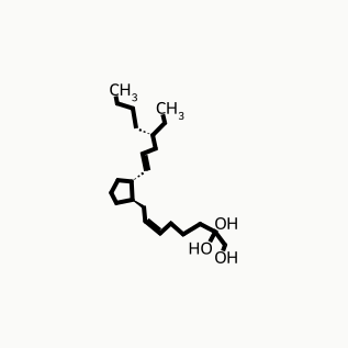 CCCC[C@H](CC)C/C=C/[C@H]1CCC[C@@H]1C/C=C\CCCC(O)(O)CO